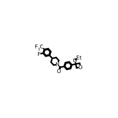 CCOC1(c2ccc(C(=O)N3CCC(c4ccc(C(F)(F)F)c(F)c4)CC3)cc2)COC1